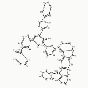 c1ccc(-c2ccc(-c3nc(-c4cccc(-c5ccccc5)c4)nc(-c4cccc(-c5cccc6oc7cc8c9cccc%10c%11ccccc%11n(c8cc7c56)c%109)c4)n3)cc2)cc1